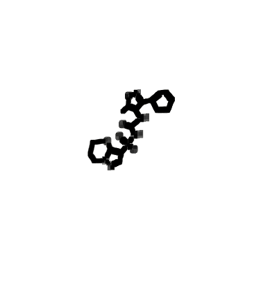 Cc1onc(-c2ccccc2)c1NC(=O)NS(=O)(=O)c1cnn2c1OCCC2